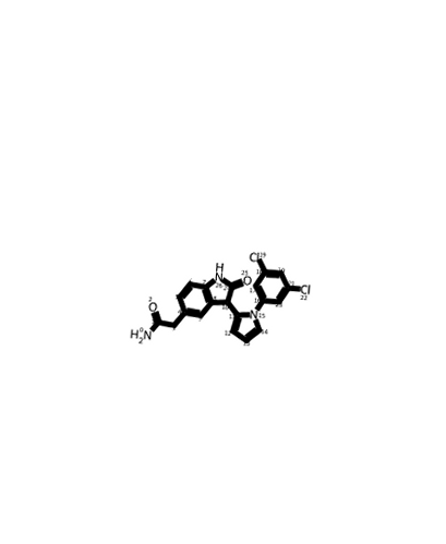 NC(=O)Cc1ccc2c(c1)C(c1cccn1-c1cc(Cl)cc(Cl)c1)C(=O)N2